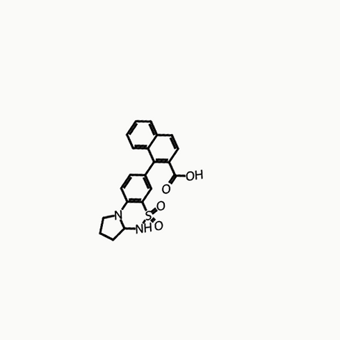 O=C(O)c1ccc2ccccc2c1-c1ccc2c(c1)S(=O)(=O)NC1CCCN21